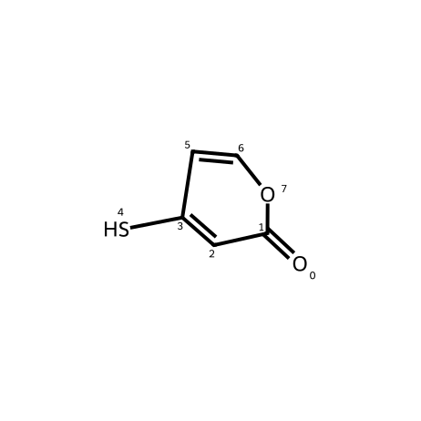 O=c1cc(S)cco1